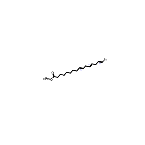 CC/C=C/C/C=C/C/C=C/CCCCCCCC(=O)OCCC